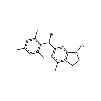 CCN(c1nc(C)c2c(n1)N(C(C)C)CC2)c1c(C)cc(C)cc1C